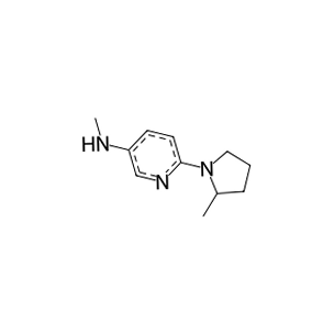 CNc1ccc(N2CCCC2C)nc1